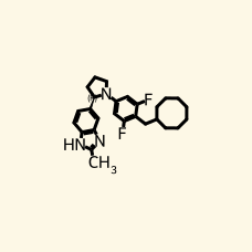 Cc1nc2cc([C@H]3CCCN3c3cc(F)c(CC4CCCCCCC4)c(F)c3)ccc2[nH]1